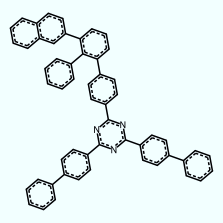 c1ccc(-c2ccc(-c3nc(-c4ccc(-c5ccccc5)cc4)nc(-c4ccc(-c5cccc(-c6ccc7ccccc7c6)c5-c5ccccc5)cc4)n3)cc2)cc1